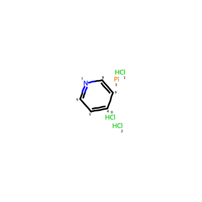 Cl.Cl.Cl.[P].c1ccncc1